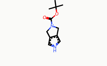 CC(C)(C)OC(=O)N1Cc2c[nH]cc2C1